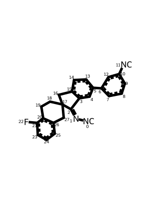 [C-]#[N+]/N=C1\c2cc(-c3cccc([N+]#[C-])c3)ccc2CC12CCc1c(F)cccc1C2